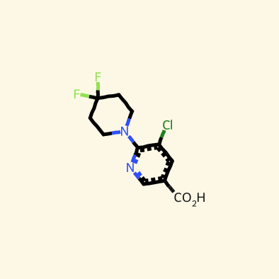 O=C(O)c1cnc(N2CCC(F)(F)CC2)c(Cl)c1